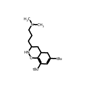 CN(C)CCCC1CC2CC(C(C)(C)C)=CC(C(C)(C)C)=C2ON1